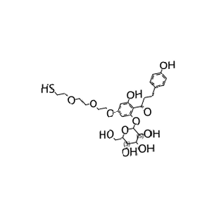 O=C(CCc1ccc(O)cc1)c1c(O)cc(OCCOCCOCCS)cc1OC1OC(CO)[C@@H](O)C(O)[C@@H]1O